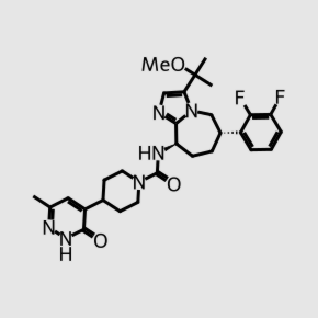 COC(C)(C)c1cnc2n1C[C@H](c1cccc(F)c1F)CC[C@H]2NC(=O)N1CCC(c2cc(C)n[nH]c2=O)CC1